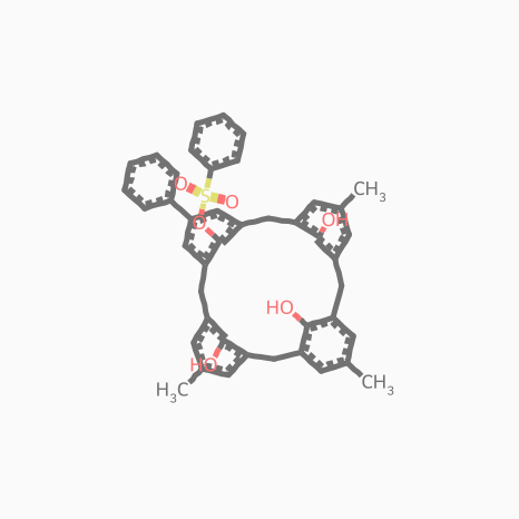 Cc1cc2c(O)c(c1)Cc1cc(C)cc(c1O)Cc1cc(-c3ccccc3)cc(c1OS(=O)(=O)c1ccccc1)Cc1cc(C)cc(c1O)C2